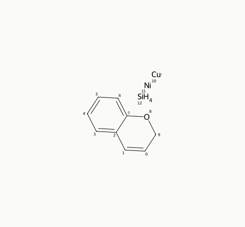 C1=Cc2ccccc2OC1.[Cu].[Ni].[SiH4]